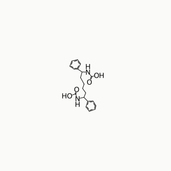 O=C(O)NC(CCCCC(NC(=O)O)c1ccccc1)c1ccccc1